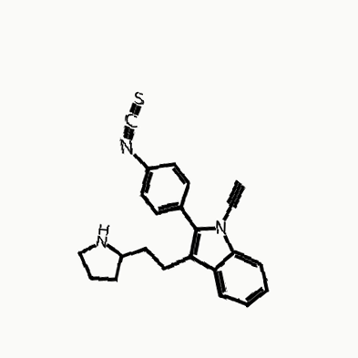 C#Cn1c(-c2ccc(N=C=S)cc2)c(CCC2CCCN2)c2ccccc21